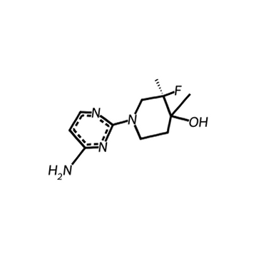 CC1(O)CCN(c2nccc(N)n2)C[C@@]1(C)F